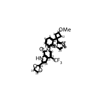 COC1CC(c2cccc(-n3cc(C(F)(F)F)c4cc(C5OCCO5)[nH]c4c3=O)c2)(c2nncn2C)C1